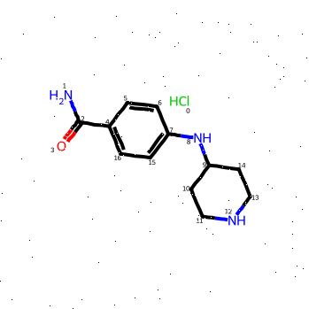 Cl.NC(=O)c1ccc(NC2CCNCC2)cc1